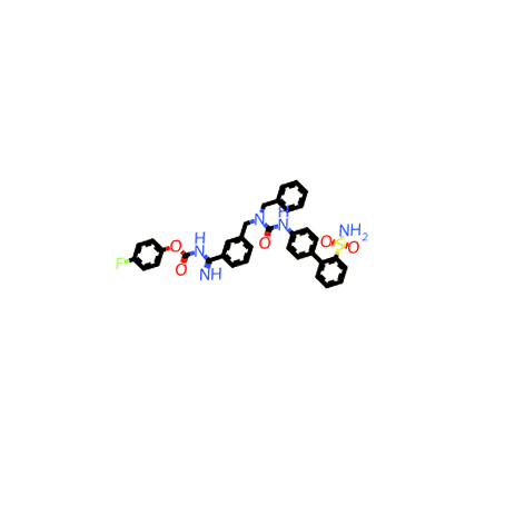 N=C(NC(=O)Oc1ccc(F)cc1)c1cccc(CN(Cc2ccccc2)C(=O)Nc2ccc(-c3ccccc3S(N)(=O)=O)cc2)c1